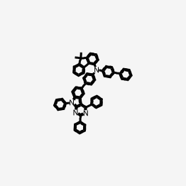 CC1(C)c2ccccc2-c2c(N(c3ccc(-c4ccccc4)cc3)c3ccc(-c4ccc5c(c4)c4c(-c6ccccc6)nc(-c6ccccc6)nc4n5-c4ccccc4)cc3)cccc21